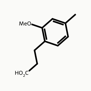 COc1cc(C)ccc1CCC(=O)O